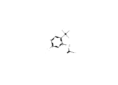 CC(=O)Nc1cc(N)ccc1C(C)(C)C